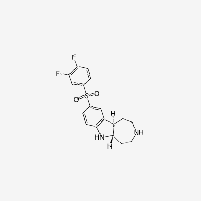 O=S(=O)(c1ccc(F)c(F)c1)c1ccc2c(c1)[C@H]1CCNCC[C@@H]1N2